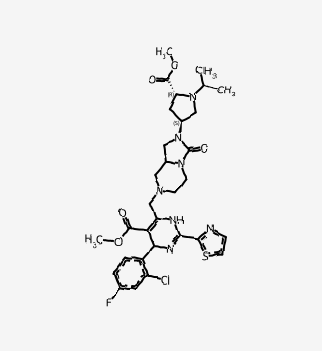 COC(=O)C1=C(CN2CCN3C(=O)N([C@H]4C[C@H](C(=O)OC)N(C(C)C)C4)CC3C2)NC(c2nccs2)=NC1c1ccc(F)cc1Cl